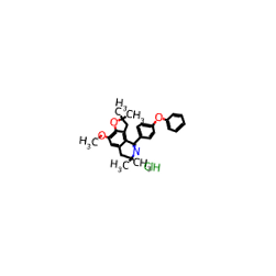 COc1cc2c(c3c1OC(C)(C)C3)C(c1ccc(Oc3ccccc3)cc1)=NC(C)(C)C2.Cl